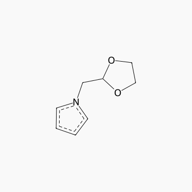 c1ccn(CC2OCCO2)c1